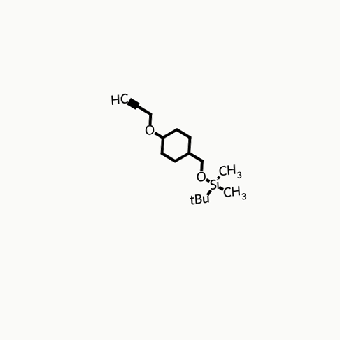 C#CCOC1CCC(CO[Si](C)(C)C(C)(C)C)CC1